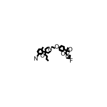 CCCC(=O)C1(c2cc(C#N)ccc2C)CCN(CCOc2ccc(C3(C(=O)N4CC(F)C4)COC3)cc2)CC1